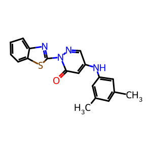 Cc1cc(C)cc(Nc2cnn(-c3nc4ccccc4s3)c(=O)c2)c1